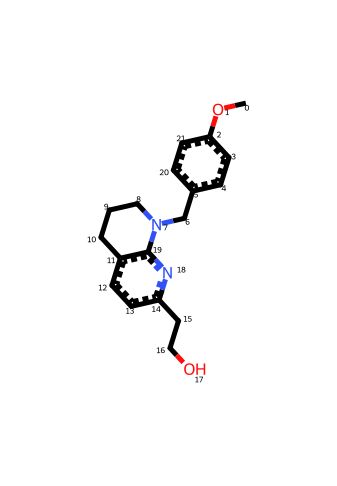 COc1ccc(CN2CCCc3ccc(CCO)nc32)cc1